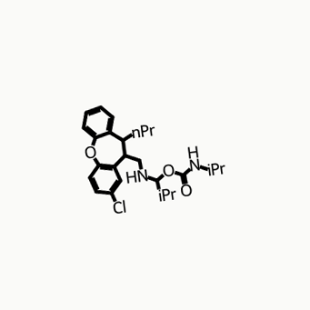 CCCC1c2ccccc2Oc2ccc(Cl)cc2C1CNC(OC(=O)NC(C)C)C(C)C